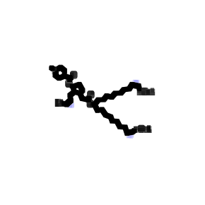 CC/C=C\CC1C(CC(=O)OC(CCCCCCCC/C=C\CCCCCCCC)CCCCCCCC/C=C\CCCCCCCC)CCC1OC(=O)C1CCN(C)CC1